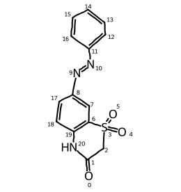 O=C1CS(=O)(=O)c2cc(N=Nc3ccccc3)ccc2N1